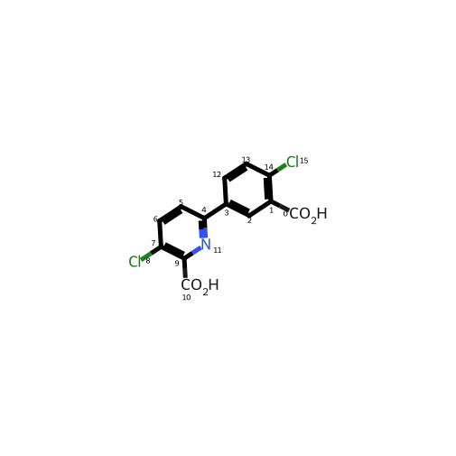 O=C(O)c1cc(-c2ccc(Cl)c(C(=O)O)n2)ccc1Cl